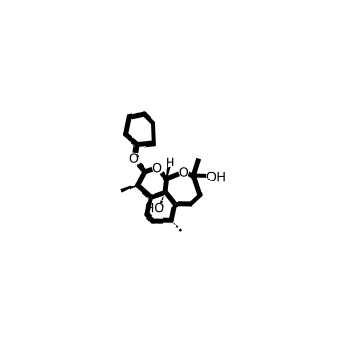 C[C@H]1C(OC2CCCCC2)O[C@@H]2OC(C)(O)CCC3[C@H](C)CCC1[C@]32O